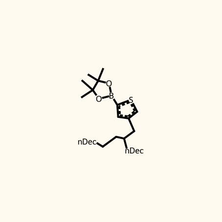 CCCCCCCCCCCCC(CCCCCCCCCC)Cc1csc(B2OC(C)(C)C(C)(C)O2)c1